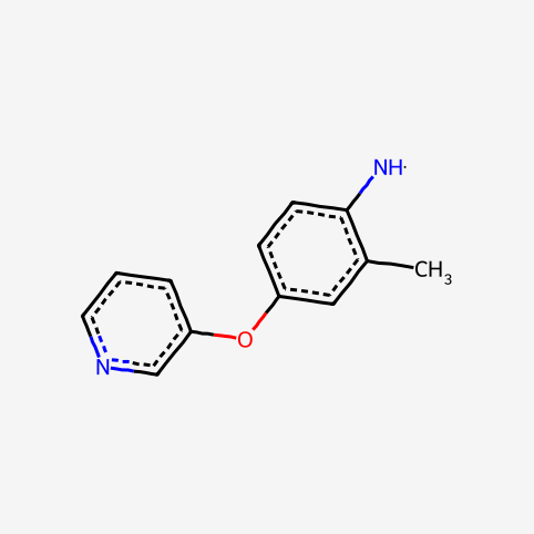 Cc1cc(Oc2cccnc2)ccc1[NH]